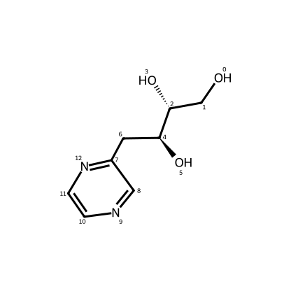 OC[C@@H](O)[C@@H](O)Cc1cnccn1